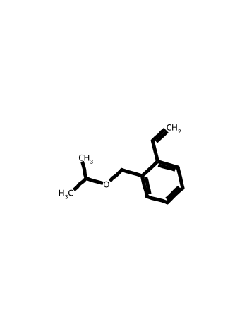 C=Cc1ccccc1COC(C)C